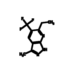 CCc1nc2[nH]nc(C)c2cc1C(F)(F)F